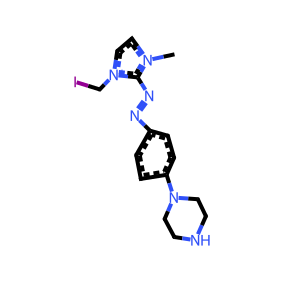 Cn1cc[n+](CI)c1N=Nc1ccc(N2CCNCC2)cc1